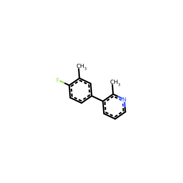 Cc1cc(-c2cccnc2C)ccc1F